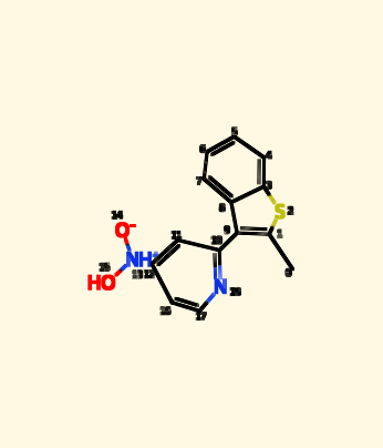 Cc1sc2ccccc2c1-c1cc([NH+]([O-])O)ccn1